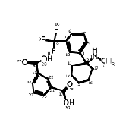 CNC1(c2cccc(C(F)(F)F)c2)CCCCC1.O=C(O)c1cccc(C(=O)O)c1